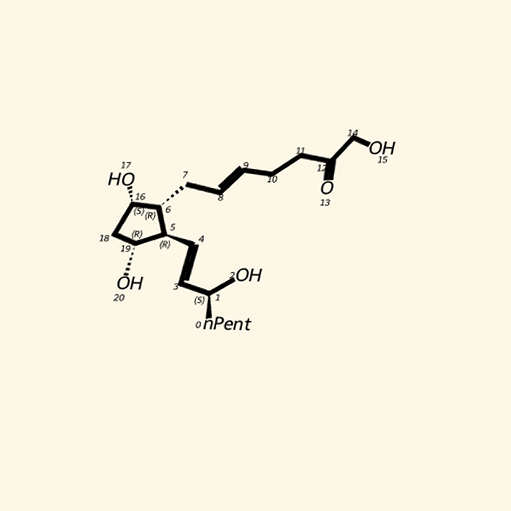 CCCCC[C@H](O)C=C[C@@H]1[C@@H](CC=CCCC(=O)CO)[C@@H](O)C[C@H]1O